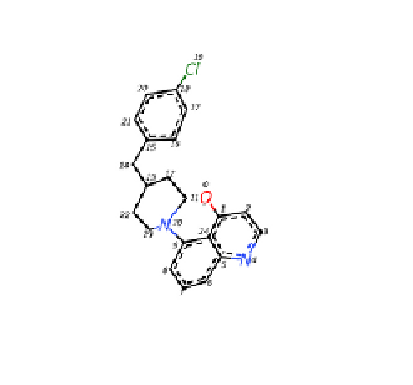 [O]c1ccnc2cccc(N3CCC(Cc4ccc(Cl)cc4)CC3)c12